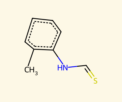 Cc1ccccc1NC=S